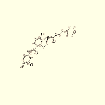 O=C(N[C@H]1CCc2c(C(=O)Nc3ccc(F)c(Cl)c3)ccc(F)c21)OCCN1CCOCC1